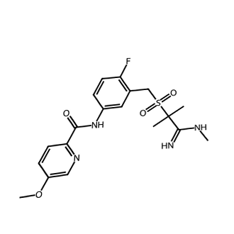 CNC(=N)C(C)(C)S(=O)(=O)Cc1cc(NC(=O)c2ccc(OC)cn2)ccc1F